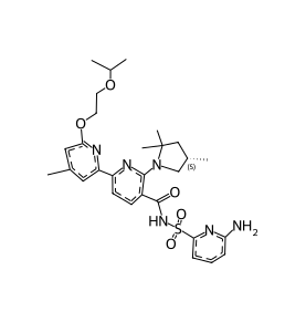 Cc1cc(OCCOC(C)C)nc(-c2ccc(C(=O)NS(=O)(=O)c3cccc(N)n3)c(N3C[C@@H](C)CC3(C)C)n2)c1